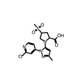 Cc1cc(N2CC(S(C)(=O)=O)CC2C(=O)O)n(-c2ccnc(Cl)c2)n1